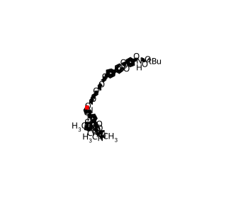 Cc1nn(C)cc1S(=O)(=O)NC(=O)c1ccc(-n2ccc(OCCOCCOCCOCCOc3ccc(C4CCN(S(=O)(=O)c5ccc(C(=O)NCC(=O)OC(C)(C)C)cc5)CC4)cc3)n2)nc1N1C[C@@H](C)CC1(C)C